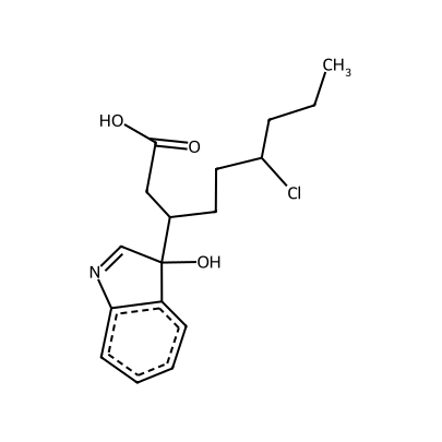 CCCC(Cl)CCC(CC(=O)O)C1(O)C=Nc2ccccc21